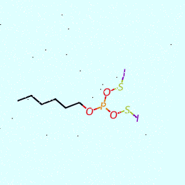 CCCCCCOP(OSI)OSI